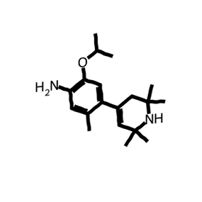 Cc1cc(N)c(OC(C)C)cc1C1=CC(C)(C)NC(C)(C)C1